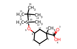 CC1(C(=O)O)CCCC(O[Si](C)(C)C(C)(C)C)C1